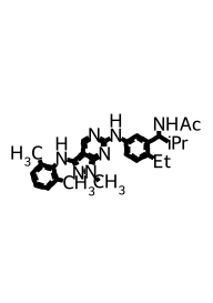 CCc1ccc(Nc2ncc3c(Nc4c(C)cccc4C)nn(C)c3n2)cc1C(NC(C)=O)C(C)C